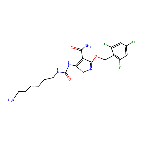 NCCCCCCNC(=O)Nc1snc(OCc2c(F)cc(Cl)cc2F)c1C(N)=O